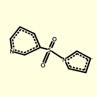 O=S(=O)(c1cccnc1)n1c[c]cc1